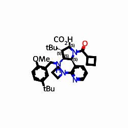 COc1ccc(C(C)(C)C)cc1CN[C@H]1[C@H](C(C)(C)C)[C@@H](C(=O)O)N(C(=O)C2CCC2)[C@H]1c1cccnc1N1CCC1